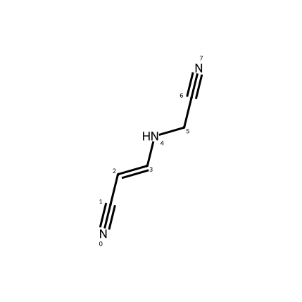 N#CC=CNCC#N